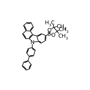 CC1(C)OB(c2ccc3c(c2)c2c4ccccc4ccc2n3-c2ccc(-c3ccccc3)cc2)OC1(C)C